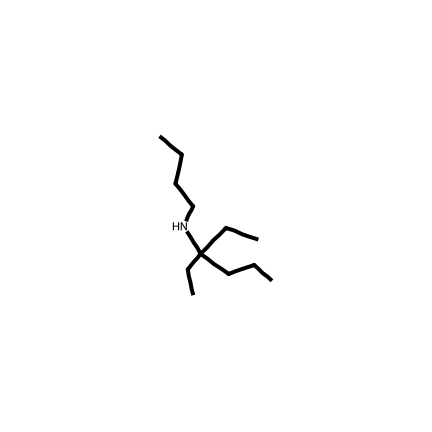 CCCCNC(CC)(CC)CCC